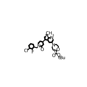 Cn1cc(-c2ccn(Cc3cccc(Cl)c3F)c(=O)c2)c2cc(N3CCON(C(=O)OC(C)(C)C)CC3)cnc21